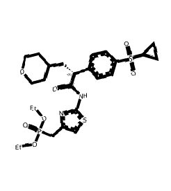 CCOP(=O)(Cc1csc(NC(=O)[C@H](CC2CCOCC2)c2ccc(S(=O)(=O)C3CC3)cc2)n1)OCC